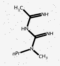 CCCN(C)C(=N)NC(C)=N